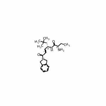 CC[C@H](N)C(=O)N[C@H](/C=C/C(=O)N1Cc2ccccc2C1)CC(C)(C)C